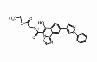 CCOC(=O)CNC(=O)c1c(O)c2ccc(-c3cnn(-c4ccccc4)c3)cc2c2ncnn12